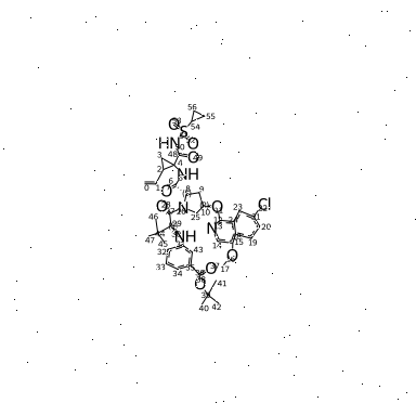 C=CC1CC1(NC(=O)[C@@H]1C[C@@H](Oc2ncc(OC)c3ccc(Cl)cc23)CN1C(=O)[C@@H](Nc1cccc(C(=O)OC(C)(C)C)c1)C(C)(C)C)C(=O)NS(=O)(=O)C1CC1